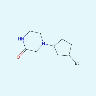 CCC1CCC(N2CCNC(=O)C2)C1